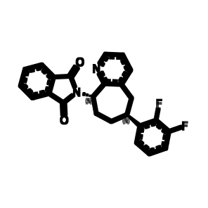 O=C1c2ccccc2C(=O)N1[C@H]1CC[C@H](c2cccc(F)c2F)Cc2cccnc21